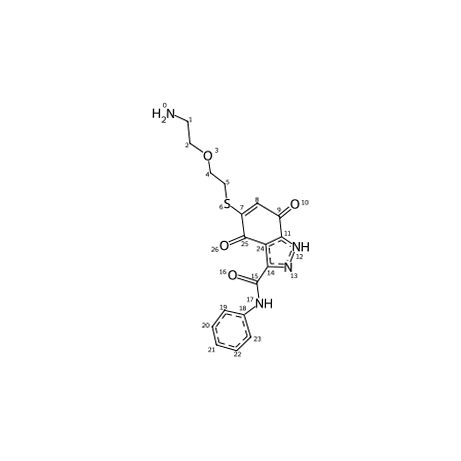 NCCOCCSC1=CC(=O)c2[nH]nc(C(=O)Nc3ccccc3)c2C1=O